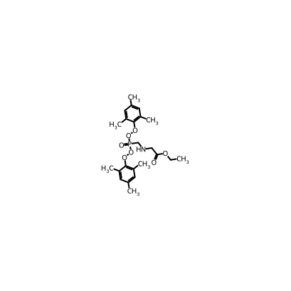 CCOC(=O)CNCP(=O)(OOc1c(C)cc(C)cc1C)OOc1c(C)cc(C)cc1C